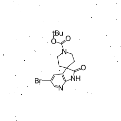 CC(C)(C)OC(=O)N1CCC2(CC1)C(=O)Nc1ncc(Br)cc12